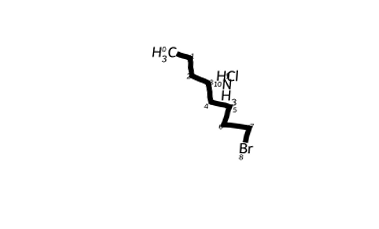 CCCCCCCCBr.Cl.N